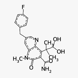 Cn1c(=O)c(C(N)=O)c(C(C)(C)C(O)O)c2ncc(Cc3ccc(F)cc3)cc21